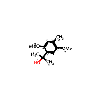 COc1cc(C(C)(C)O)c(OC)cc1C